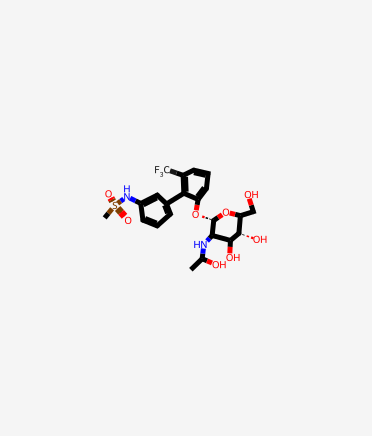 CC(O)NC1C(O)[C@@H](O)C(CO)O[C@H]1Oc1cccc(C(F)(F)F)c1-c1cccc(NS(C)(=O)=O)c1